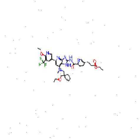 CCOCC1(CN(C)c2cc(-c3cnc(OCC)c(C(F)(F)F)c3)nc3nc(NC(=O)c4ccc(CCC(=O)OCC)cn4)[nH]c23)CCCC1